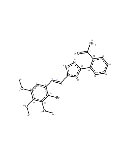 COc1cc(/C=C/c2nnc(-c3ccccc3C(N)=O)s2)c(Br)c(OC)c1OC